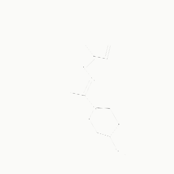 C=C/C(F)=C\N=C(/C)N1CCC(N)CC1